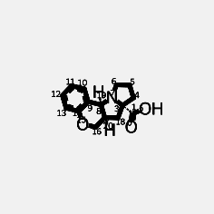 O=C(O)[C@@]12CCCN1[C@@H]1c3ccccc3OC[C@@H]1C2